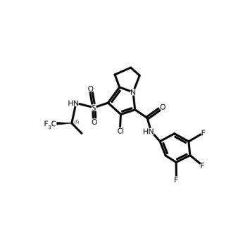 C[C@H](NS(=O)(=O)c1c(Cl)c(C(=O)Nc2cc(F)c(F)c(F)c2)n2c1CCC2)C(F)(F)F